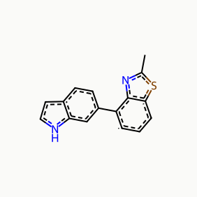 Cc1nc2c(-c3ccc4cc[nH]c4c3)[c]ccc2s1